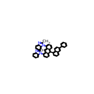 Cc1nc2ccccc2n1-c1cccc2c(-c3cccc4cc(-c5ccccc5)ccc34)c3cccc(-n4c(C)nc5ccccc54)c3cc12